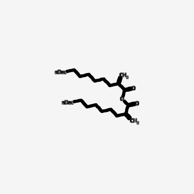 C=C(CCCCCCCCCCCCCCCC)C(=O)OC(=O)C(=C)CCCCCCCCCCCCCCCC